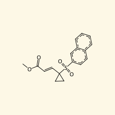 COC(=O)C=CC1(S(=O)(=O)c2ccc3ccccc3c2)CC1